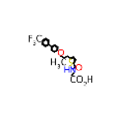 CC(COc1ccc(-c2ccc(C(F)(F)F)cc2)cc1)Cc1ccc(C(=O)NCCC(=O)O)s1